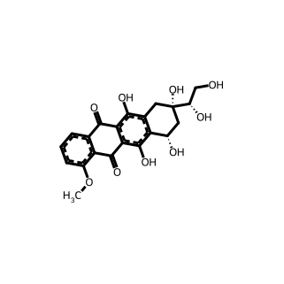 COc1cccc2c1C(=O)c1c(O)c3c(c(O)c1C2=O)C[C@@](O)([C@@H](O)CO)C[C@@H]3O